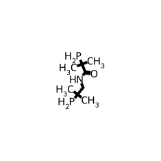 CC(C)(P)CNC(=O)C(C)(C)P